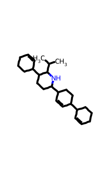 CC(C)C1NC(C2C=CC(C3C=CCCC3)CC2)CCC1C1C=CCCC1